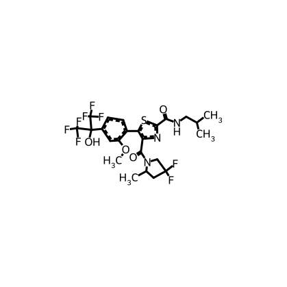 COc1cc(C(O)(C(F)(F)F)C(F)(F)F)ccc1-c1sc(C(=O)NCC(C)C)nc1C(=O)N1CC(F)(F)CC1C